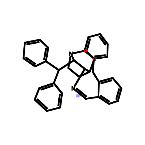 C(=N/C1C2CCN(CC2)C1C(c1ccccc1)c1ccccc1)/c1ccccc1Cc1ccccc1